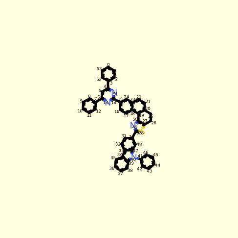 c1ccc(-c2cc(-c3ccccc3)nc(-c3ccc4c5c(ccc4c3)CCc3sc(-c4ccc6c7ccccc7n(-c7ccccc7)c6c4)nc3-5)n2)cc1